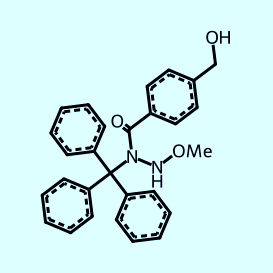 CONN(C(=O)c1ccc(CO)cc1)C(c1ccccc1)(c1ccccc1)c1ccccc1